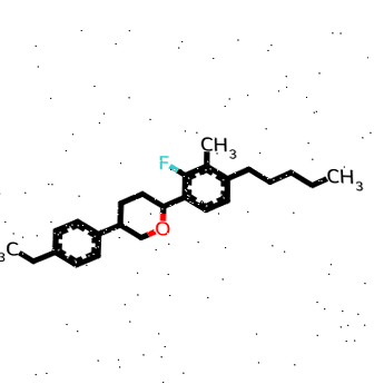 CCCCCc1ccc(C2CCC(c3ccc(CC)cc3)CO2)c(F)c1C